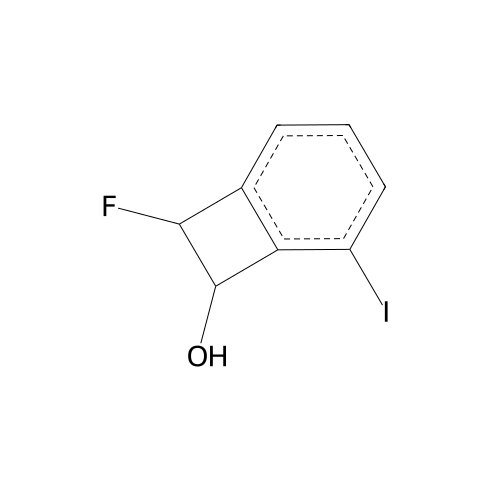 OC1c2c(I)cccc2C1F